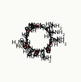 CC[C@H](C)C1NC(=O)C([C@@H](C)O)NC(=O)C(Cc2cncn2C)NC(=O)C(Cc2ccccc2)NC(=O)CSCC(C(=O)NCC(N)=O)NC(=O)C(Cc2ccc(O)cc2)NC(=O)C(Cc2c[nH]c3ccccc23)NC(=O)C(Cc2ccc(O)cc2)NC(=O)C(CCCNC(=N)N)NC(=O)C(Cc2ccccc2)NC(=O)C(C)(C)NC(=O)C(CCCNC(=N)N)NC(=O)C(CCCCN)NC(=O)C(CCCNC(=N)N)NC1=O